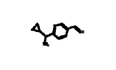 N=Cc1ccc(N(N)C2CC2)nc1